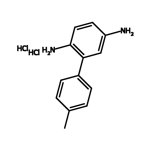 Cc1ccc(-c2cc(N)ccc2N)cc1.Cl.Cl